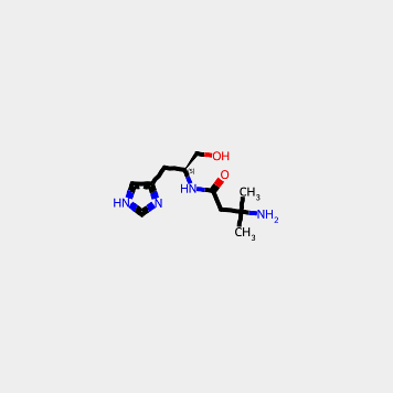 CC(C)(N)CC(=O)N[C@H](CO)Cc1c[nH]cn1